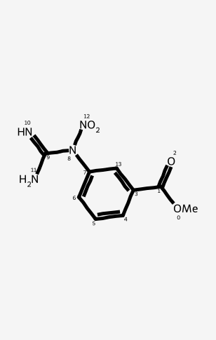 COC(=O)c1cccc(N(C(=N)N)[N+](=O)[O-])c1